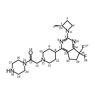 C[C@H]1CCN1c1nc(C2CCN(CC(=O)N3CCNCC3)CC2)c2c(n1)C(F)(F)CC2